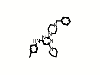 Cc1ccc(Nc2cc(N3CCCCC3)nc(N3CCN(Cc4ccccc4)CC3)n2)cc1